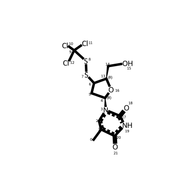 Cc1cn([C@H]2CC(SSC(Cl)(Cl)Cl)[C@@H](CO)O2)c(=O)[nH]c1=O